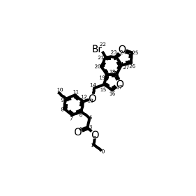 CCOC(=O)Cc1ccc(C)cc1OCc1coc2c1cc(Br)c1occc12